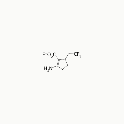 CCOC(=O)C1=C(N)CCC1CC(F)(F)F